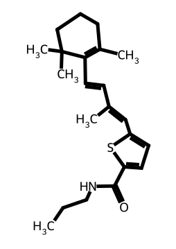 CCCNC(=O)c1ccc(/C=C(C)/C=C/C2=C(C)CCCC2(C)C)s1